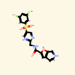 O=C(NCc1ncc(S(=O)(=O)c2cc(F)cc(F)c2)cn1)c1cc2ccncc2o1